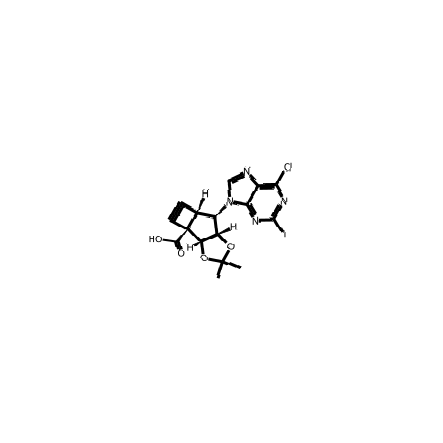 CC1(C)O[C@H]2[C@H](n3cnc4c(Cl)nc(I)nc43)[C@H]3C#C[C@@]3(C(=O)O)[C@H]2O1